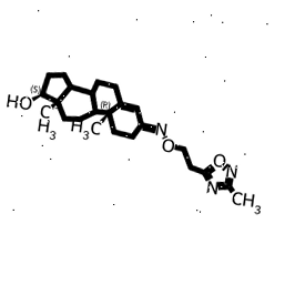 Cc1noc(CCON=C2C=C3CCC4C(CC[C@@]5(C)C4CC[C@@H]5O)[C@@]3(C)CC2)n1